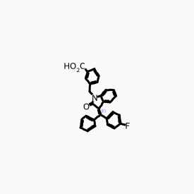 O=C(O)c1cccc(CN2C(=O)/C(=C(\c3ccccc3)c3ccc(F)cc3)c3ccccc32)c1